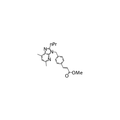 CCCc1nc2c(C)cc(C)nc2n1Cc1ccc(/C=C/C(=O)OC)cc1